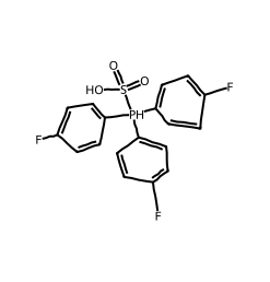 O=S(=O)(O)[PH](c1ccc(F)cc1)(c1ccc(F)cc1)c1ccc(F)cc1